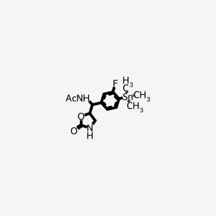 CC(=O)NC(c1cc[c]([Sn]([CH3])([CH3])[CH3])c(F)c1)C1CNC(=O)O1